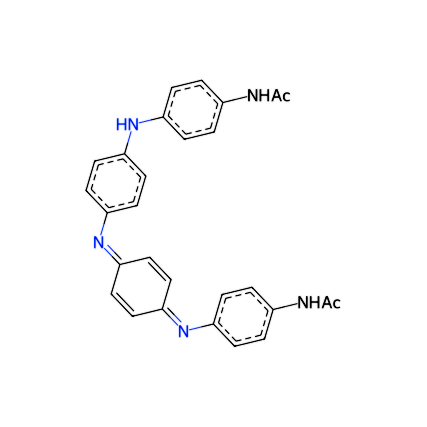 CC(=O)Nc1ccc(N=C2C=CC(=Nc3ccc(Nc4ccc(NC(C)=O)cc4)cc3)C=C2)cc1